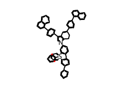 C1=CC=S2(c3ccccc3)(C=C1)c1cc(-c3ccccc3)ccc1-c1ccc(-n3cc(-c4ccc(-c5cccc6ccccc56)cc4)c4c3CCC(c3ccc(-c5cccc6ccccc56)cc3)=C4)cc12